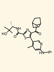 Cc1cc(NC(C)C)ncc1-c1sc(C(=O)N[C@@H](C)C(C)(C)O)nc1C(=O)N1C2CCC1CC2